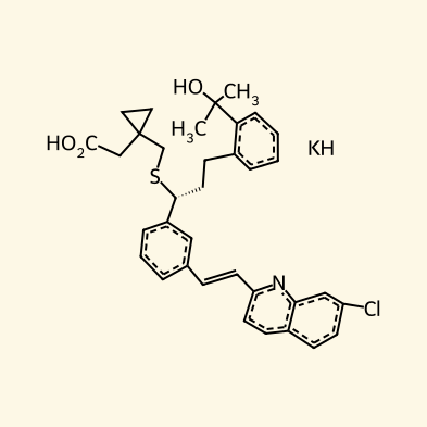 CC(C)(O)c1ccccc1CC[C@@H](SCC1(CC(=O)O)CC1)c1cccc(/C=C/c2ccc3ccc(Cl)cc3n2)c1.[KH]